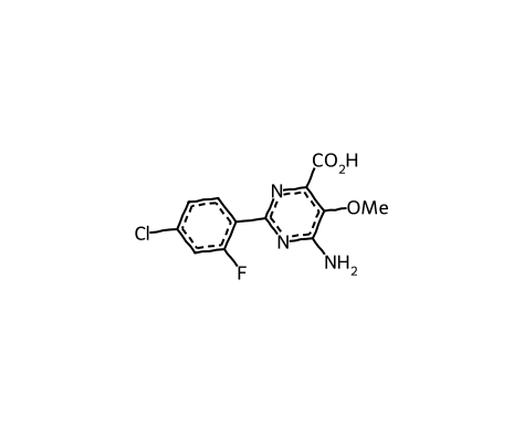 COc1c(N)nc(-c2ccc(Cl)cc2F)nc1C(=O)O